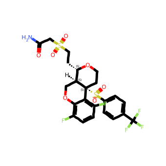 NC(=O)CS(=O)(=O)CC[C@@H]1OCC[C@@]2(S(=O)(=O)c3ccc(C(F)(F)F)cc3)c3c(F)ccc(F)c3OC[C@@H]12